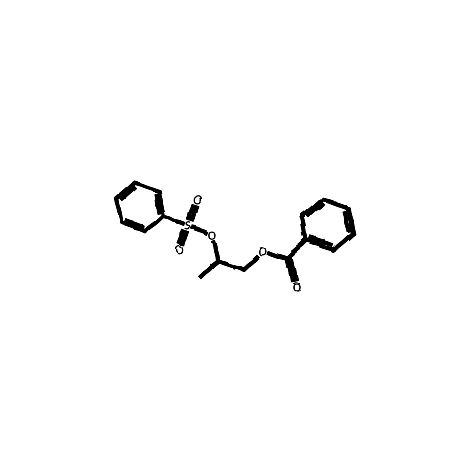 CC(COC(=O)c1ccccc1)OS(=O)(=O)c1ccccc1